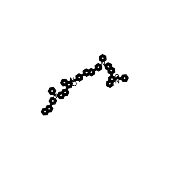 c1ccc(-c2nc3c(o2)c(-c2ccc4ccc(N(c5ccccc5)c5ccc(-c6ccc7cc(-c8ccc(-c9nc%10c(cc(-c%11ccc%12ccc(N(c%13ccccc%13)c%13ccc(-c%14ccc%15ccccc%15c%14)cc%13)cc%12c%11)c%11ccccc%11%10)o9)cc8)ccc7c6)cc5)cc4c2)cc2ccccc23)cc1